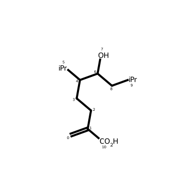 C=C(CCC(C(C)C)C(O)CC(C)C)C(=O)O